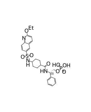 CCOc1ccc2cc(S(=O)(=O)NC3CCC(C(=O)N[C@H](COP(=O)(O)O)c4ccccc4)CC3)ccc2n1